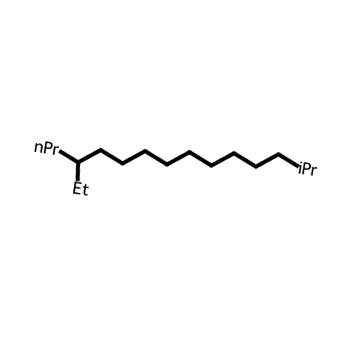 [CH2]CCC(C[CH2])CCCCCCCCCC(C)C